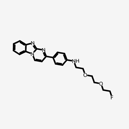 FCCOCCOCCNc1ccc(-c2ccn3c(n2)nc2ccccc23)cc1